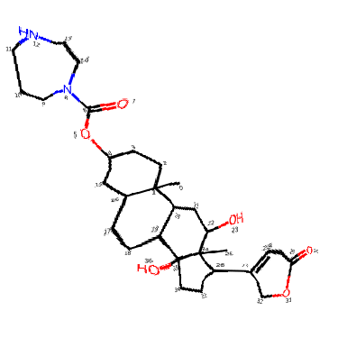 CC12CCC(OC(=O)N3CCCNCC3)CC1CCC1C2CC(O)C2(C)C(C3=CC(=O)OC3)CCC12O